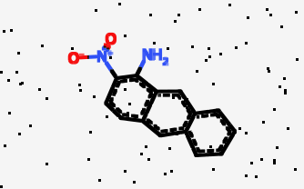 Nc1c([N+](=O)[O-])ccc2cc3ccccc3cc12